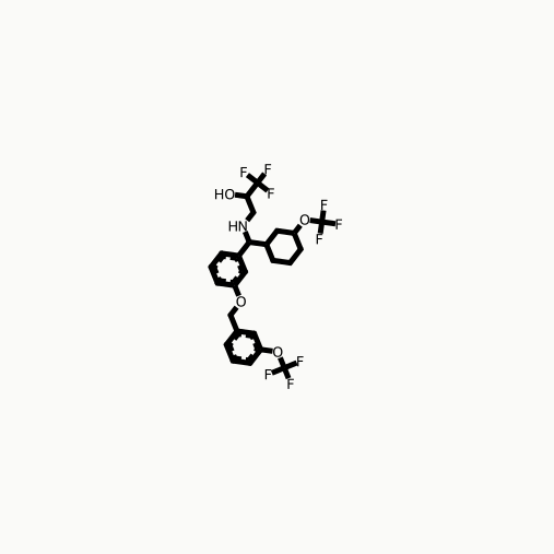 OC(CNC(c1cccc(OCc2cccc(OC(F)(F)F)c2)c1)C1CCCC(OC(F)(F)F)C1)C(F)(F)F